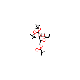 C=C(C)C(=O)OCC(C[SiH2]C(O[Si](C)(C)C)O[Si](C)(C)C)OC(O)CC